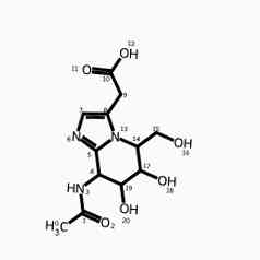 CC(=O)NC1c2ncc(CC(=O)O)n2C(CO)C(O)C1O